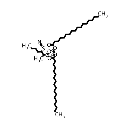 CCCCCCCCCCCCCCCCCC(=O)O[SiH](OOC(C)C(CCCC)SC#N)OC(=O)CCCCCCCCCCCCCCCCC